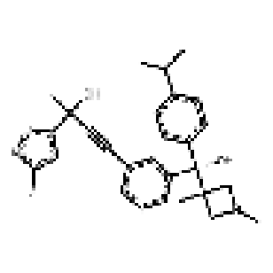 Cc1cc(C(C)(O)C#Cc2cncc([C@@](O)(c3ccc(C(C)C)cc3)C3(C)CN(C)C3)c2)on1